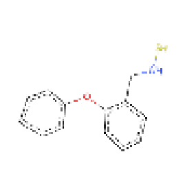 SNCc1ccccc1Oc1ccccc1